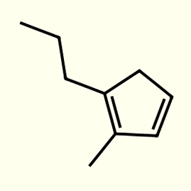 CCCC1=C(C)C=CC1